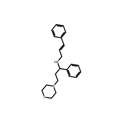 C(=Cc1ccccc1)CNC(CCN1CCOCC1)c1ccccc1